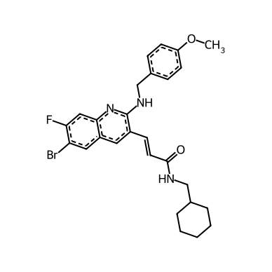 COc1ccc(CNc2nc3cc(F)c(Br)cc3cc2C=CC(=O)NCC2CCCCC2)cc1